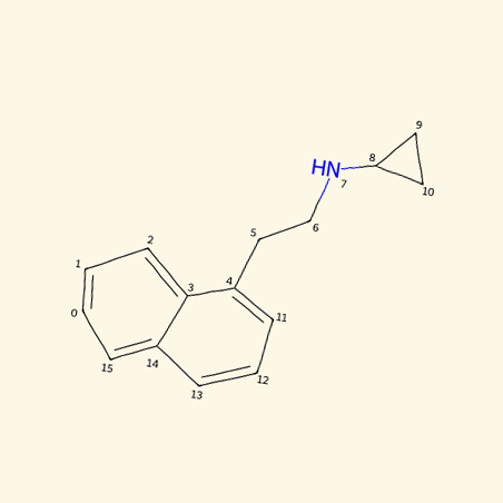 c1ccc2c(CCNC3CC3)cccc2c1